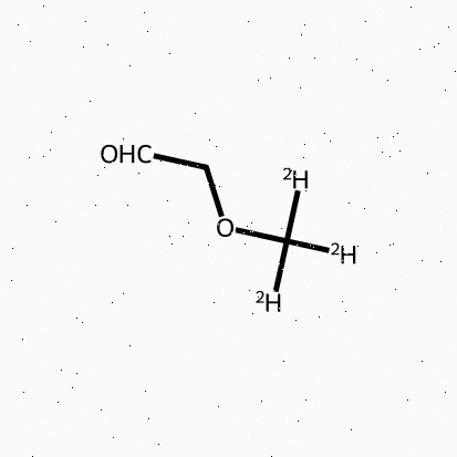 [2H]C([2H])([2H])OCC=O